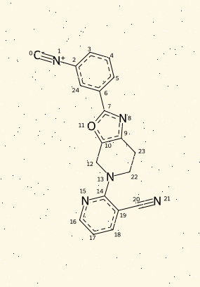 [C-]#[N+]c1cccc(-c2nc3c(o2)CN(c2ncccc2C#N)CC3)c1